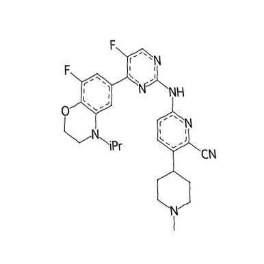 CC(C)N1CCOc2c(F)cc(-c3nc(Nc4ccc(C5CCN(C)CC5)c(C#N)n4)ncc3F)cc21